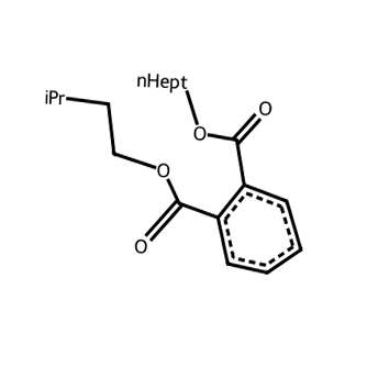 CCCCCCCOC(=O)c1ccccc1C(=O)OCCC(C)C